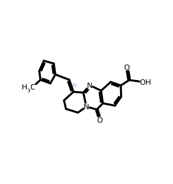 Cc1cccc(/C=C2\CCCn3c2nc2cc(C(=O)O)ccc2c3=O)c1